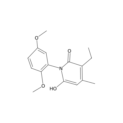 CCc1c(C)cc(O)n(-c2cc(OC)ccc2OC)c1=O